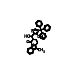 Cc1c2n(c3ccccc13)C(=O)C(C(O)c1ncn(C(c3ccccc3)(c3ccccc3)c3ccccc3)c1C)CC2